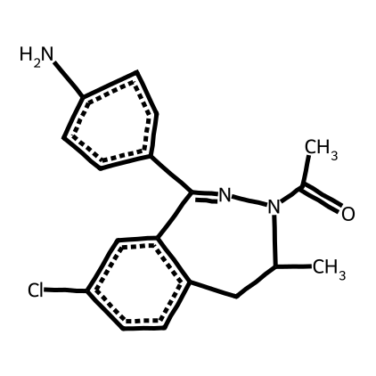 CC(=O)N1N=C(c2ccc(N)cc2)c2cc(Cl)ccc2CC1C